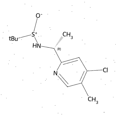 Cc1cnc([C@@H](C)N[S+]([O-])C(C)(C)C)cc1Cl